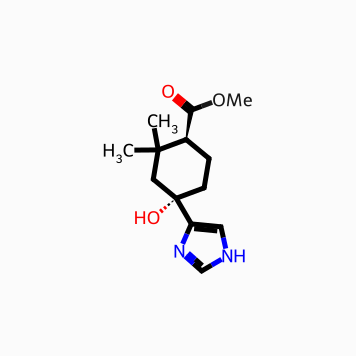 COC(=O)[C@H]1CC[C@@](O)(c2c[nH]cn2)CC1(C)C